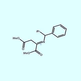 COC(=O)C/C(=N\C(c1ccccc1)C(C)C)C(=O)OC